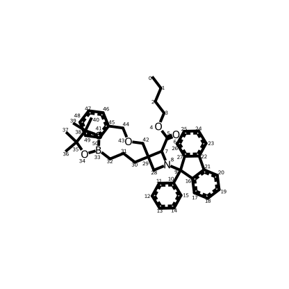 CCCCOC(=O)C1N(C2(c3ccccc3)c3ccccc3-c3ccccc32)CC1(CCCB1OC(C)(C)C(C)(C)O1)COCc1ccccc1